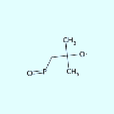 CC(C)([O])CP=O